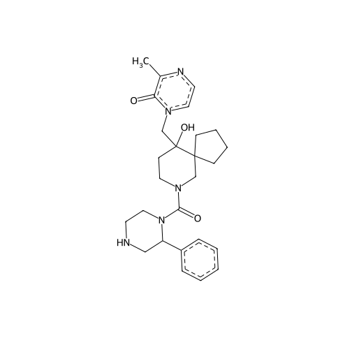 Cc1nccn(CC2(O)CCN(C(=O)N3CCNCC3c3ccccc3)CC23CCCC3)c1=O